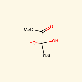 CCCCC(O)(O)C(=O)OC